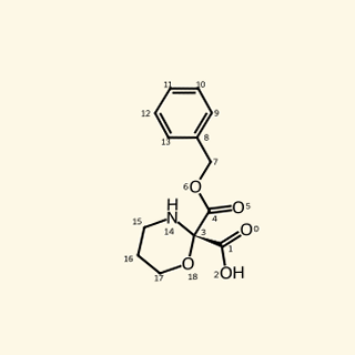 O=C(O)[C@]1(C(=O)OCc2ccccc2)NCCCO1